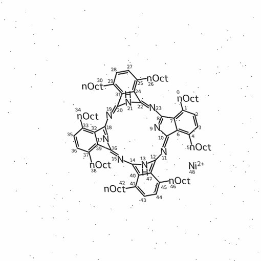 CCCCCCCCc1ccc(CCCCCCCC)c2c1-c1nc-2nc2[nH]c(nc3nc(nc4[nH]c(n1)c1c(CCCCCCCC)ccc(CCCCCCCC)c41)-c1c(CCCCCCCC)ccc(CCCCCCCC)c1-3)c1c(CCCCCCCC)ccc(CCCCCCCC)c21.[Ni+2]